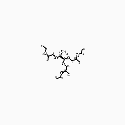 CCOC(C)COC([SiH3])=C(OCC(C)OCC)OCC(C)OCC